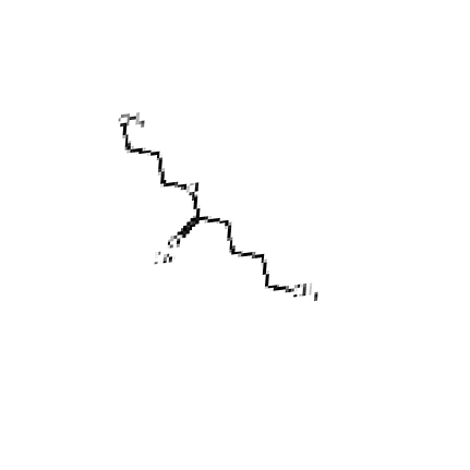 CCCCCC(=O)OCCCC.[Co]